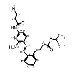 CC(C)OC(=O)OCOc1ccccc1/N=N/c1ccc(NC(=O)CCN)nc1N